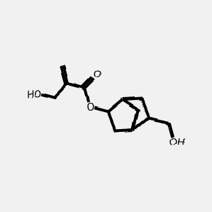 C=C(CO)C(=O)OC1CC2CC1CC2CO